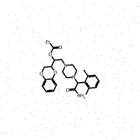 CCC(=O)OC(CN1CCN(C(C(N)=O)c2c(C)cccc2C)CC1)C1COc2ccccc2O1